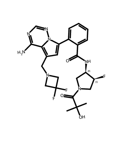 CC(C)(O)C(=O)N1C[C@H](F)[C@H](NC(=O)c2ccccc2-c2cc(CN3CC(F)(F)C3)c3c(N)ncnn23)C1